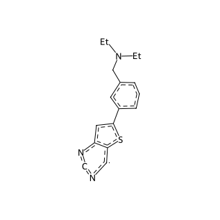 CCN(CC)Cc1cccc(-c2cc3ncn[c]c3s2)c1